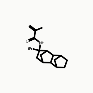 C=C(C)C(=O)NC1(C(C)C)CC2CC1C1C3CCC(C3)C21